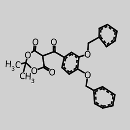 CC1(C)OC(=O)C(C(=O)c2ccc(OCc3ccccc3)c(OCc3ccccc3)c2)C(=O)O1